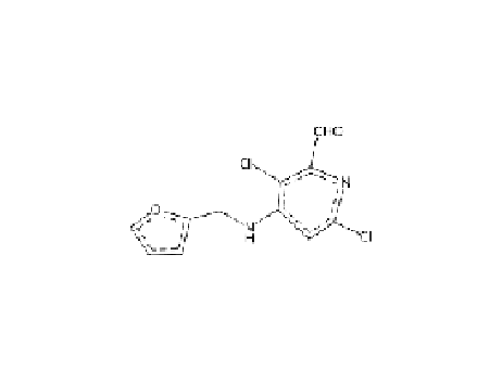 O=Cc1nc(Cl)cc(NCc2ccco2)c1Cl